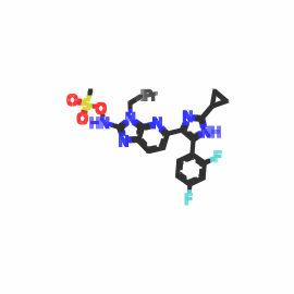 CC(C)Cn1c(NOS(C)(=O)=O)nc2ccc(-c3nc(C4CC4)[nH]c3-c3ccc(F)cc3F)nc21